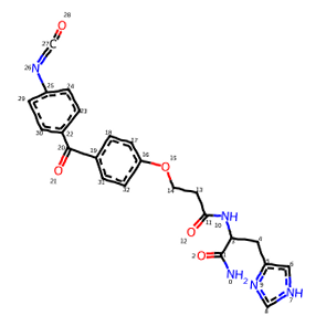 NC(=O)C(Cc1c[nH]cn1)NC(=O)CCOc1ccc(C(=O)c2ccc(N=C=O)cc2)cc1